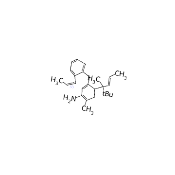 CC=CC(C)(C1CC(C)=C(N)C=C1Cc1ccccc1/C=C\C)C(C)(C)C